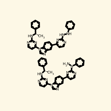 C[C@H](Nc1nccc(-n2cnc3cc(-c4ccnc(N(N)c5ccccc5)n4)ccc32)n1)c1ccccc1.C[C@H](Nc1nccc(-n2cnc3cc(-c4ccnc(NNc5ccccc5)n4)ccc32)n1)c1ccccc1